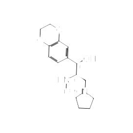 CCCCCCCCN[C@H](CN1CCCC1)[C@H](O)c1ccc2c(c1)OCCO2